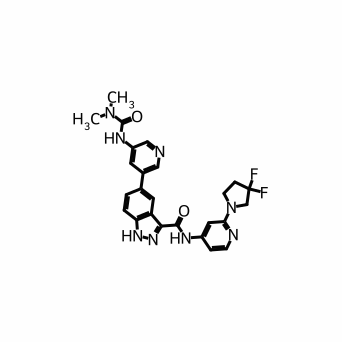 CN(C)C(=O)Nc1cncc(-c2ccc3[nH]nc(C(=O)Nc4ccnc(N5CCC(F)(F)C5)c4)c3c2)c1